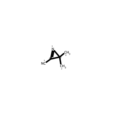 CC1(C)N=C1C#N